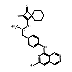 Cc1cc2ccncc2c(Nc2ccc(C[C@H](NC3=C(Br)C(=O)C34CCCCC4)C(=O)O)cc2)n1